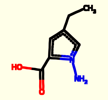 CCc1cc(C(=O)O)n(N)c1